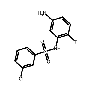 Nc1ccc(F)c(NS(=O)(=O)c2cccc(Cl)c2)c1